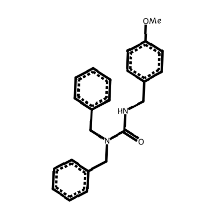 COc1ccc(CNC(=O)N(Cc2ccccc2)Cc2ccccc2)cc1